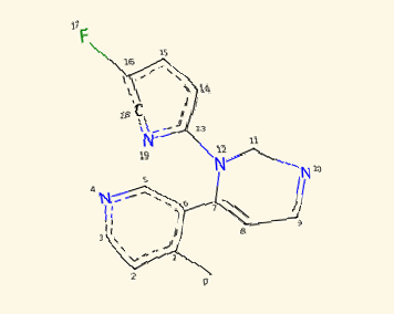 Cc1ccncc1C1=CC=NCN1c1ccc(F)cn1